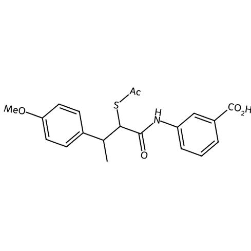 COc1ccc(C(C)C(SC(C)=O)C(=O)Nc2cccc(C(=O)O)c2)cc1